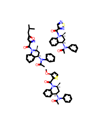 CC(=O)N(c1ccccc1)[C@@H]1C[C@H](C)N(C(=O)c2cc(CC(C)C)on2)c2ccccc21.CC(=O)N(c1ccccc1)[C@@H]1C[C@H](C)N(C(=O)c2cnsn2)c2ccccc21.COc1ccsc1C(=O)N1c2ccccc2[C@H](N(C(C)=O)c2ccccc2)C[C@@H]1C